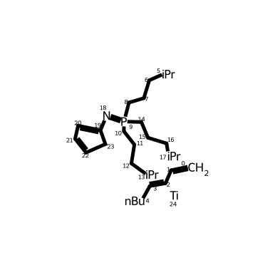 C=CC=CCCCC.CC(C)CCCP(CCCC(C)C)(CCCC(C)C)=NC1=CC=CC1.[Ti]